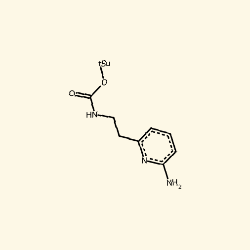 CC(C)(C)OC(=O)NCCc1cccc(N)n1